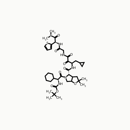 CN(C)C(=O)[C@@H](NC(=O)CNC(=O)C(=O)C(CC1CC1)NC(=O)[C@@H]1C2CC(C)(C)OC2CN1C(=O)[C@@H](NC(=O)OC(C)(C)C)C1CCCCC1)c1cccs1